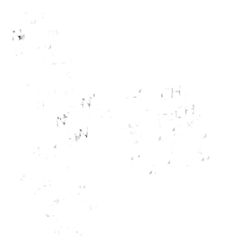 CC1(C)c2ccc(-c3nc(-c4ccc(-c5cccnc5)cc4)nc(-c4cccc(-c5ccccc5)c4)n3)cc2-c2ccc3ccccc3c21